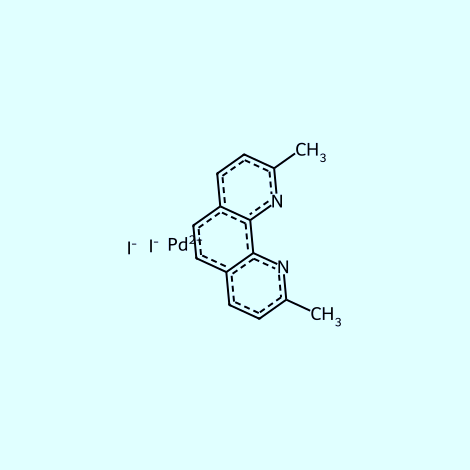 Cc1ccc2ccc3ccc(C)nc3c2n1.[I-].[I-].[Pd+2]